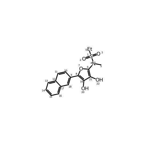 CCS(=O)(=O)N(C)c1oc(-c2ccc3ccccc3c2)c(O)c1O